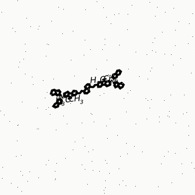 CC1(C)c2cc(/C=C/c3cccc4c(/C=C/c5ccc6c(c5)C(C)(C)c5cc(N(c7ccc8ccccc8c7)c7ccc8ccccc8c7)ccc5-6)cccc34)ccc2-c2ccc(N(c3ccc4ccccc4c3)c3ccc4ccccc4c3)cc21